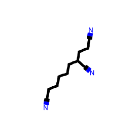 N#CCCCCCC(C#N)CCC#N